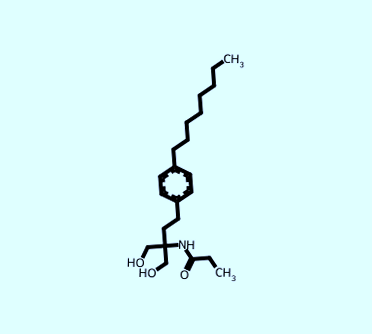 CCCCCCCCc1ccc(CCC(CO)(CO)NC(=O)CC)cc1